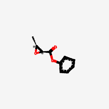 C[C@H]1O[C@@H]1C(=O)Oc1ccccc1